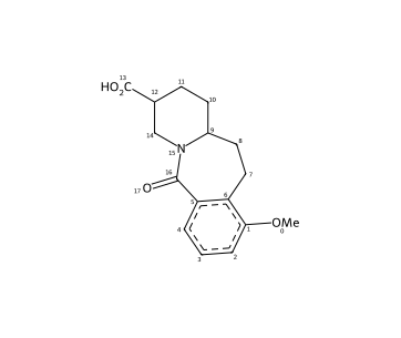 COc1cccc2c1CCC1CCC(C(=O)O)CN1C2=O